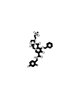 CS(=O)(=O)CC[C@@H]1CO[C@H]2Cn3cc(C(=O)NCc4ccc(F)cc4F)c(=O)c(OCc4ccccc4)c3C(=O)N12